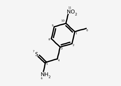 Cc1cc(CC(N)=S)ccc1[N+](=O)[O-]